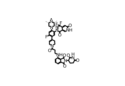 C[C@@H]1CN(c2cc(F)c(C3=CCN(C(=O)CCNc4cccc5c4C(=O)N(C4CCC(=O)NC4=O)C5=O)CC3)cc2NC(=O)c2c[nH]c(=O)cc2C(F)(F)F)C[C@H](C)N1C